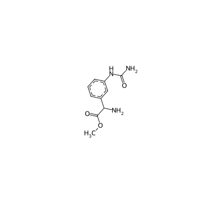 COC(=O)C(N)c1cccc(NC(N)=O)c1